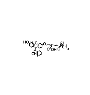 CC/C(=C(\c1ccc(O)cc1)c1ccc(OCCN(C/C=C/C(=O)N(C)C)C(=O)O)cc1C)c1ccccc1